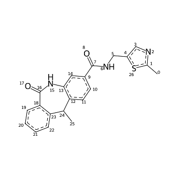 Cc1ncc(CNC(=O)c2ccc3c(c2)NC(=O)c2ccccc2C3C)s1